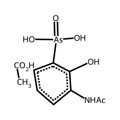 CC(=O)Nc1cccc([As](=O)(O)O)c1O.CC(=O)O